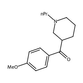 CCCN1CCCC(C(=O)c2ccc(OC)cc2)C1